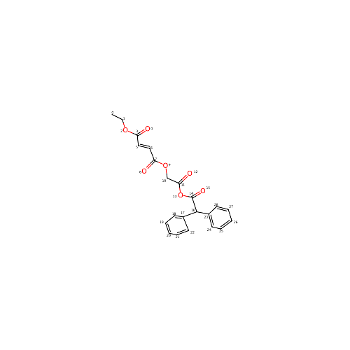 CCOC(=O)C=CC(=O)OCC(=O)OC(=O)C(c1ccccc1)c1ccccc1